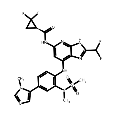 CN(c1cc(-c2cncn2C)ccc1Nc1cc(NC(=O)[C@H]2CC2(F)F)nc2[nH]c(C(F)F)nc12)S(C)(=O)=O